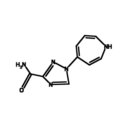 NC(=O)c1ncn(C2=CC=CNC=C2)n1